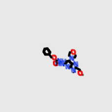 COCc1nc2c(N3CCOCC3)cc(NNC(=O)OCc3ccccc3)nc2n1C